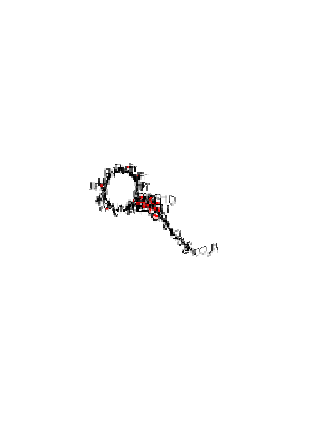 C/C=C/C[C@](C)(C(OC(=O)OC(CC=O)OC(=O)CCC(=O)OCCOCCOCCOCCOC(=O)CCC(=O)O)C1C(=O)NC(CC)C(=O)N(C)CC(=O)N(C)[C@@H](CC(C)C)C(=O)NC(C(C)C)C(=O)N(C)C(CC(C)C)C(=O)NC(C)C(=O)NC(C)C(=O)N(C)C(CC(C)C)C(=O)N(C)C(CC(C)C)C(=O)N(C)C(C(C)C)C(=O)N1C)[C@@]1(O)CCC2C3CCC4=CC(=O)C=C[C@]4(C)C3[C@@H](O)C[C@@]21C